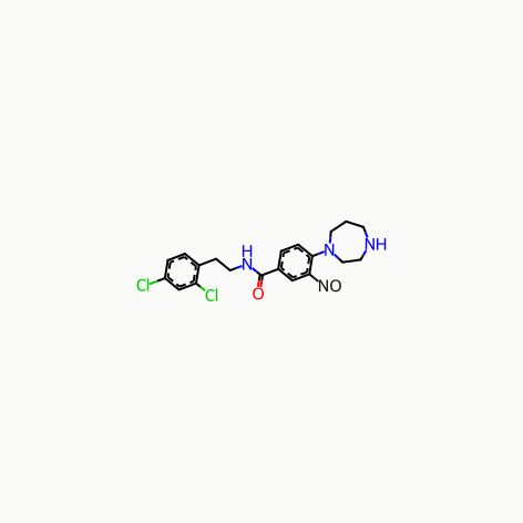 O=Nc1cc(C(=O)NCCc2ccc(Cl)cc2Cl)ccc1N1CCCNCC1